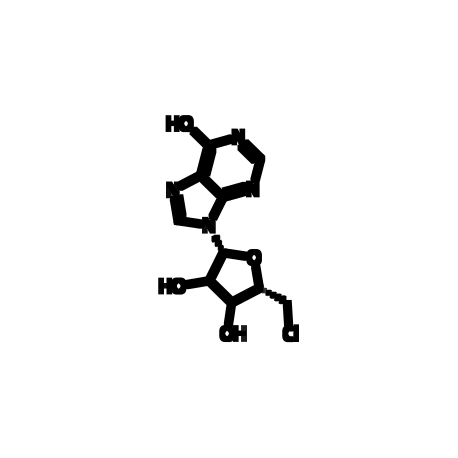 Oc1ncnc2c1ncn2[C@@H]1O[C@H](CCl)C(O)C1O